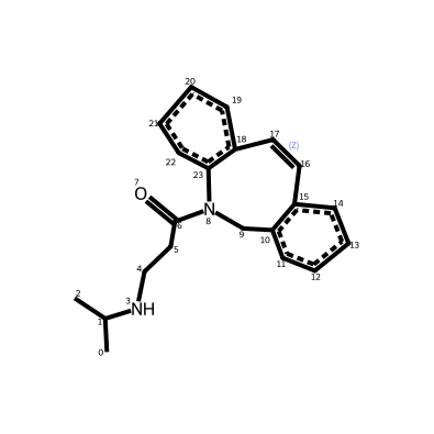 CC(C)NCCC(=O)N1Cc2ccccc2/C=C\c2ccccc21